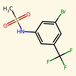 CS(=O)(=O)Nc1cc(Br)cc(C(F)(F)F)c1